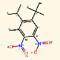 Cc1c(C(C)C)c(C(C)(C)C)cc([N+](=O)[O-])c1[N+](=O)[O-]